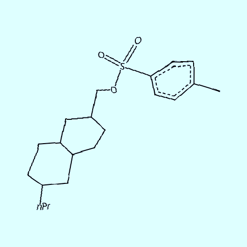 CCCC1CCC2CC(COS(=O)(=O)c3ccc(C)cc3)CCC2C1